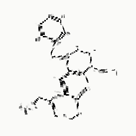 CCC(=O)c1cc2c(cc1CC)C(C)CCN2Cc1ccccc1